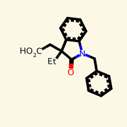 CCC1(CC(=O)O)C(=O)N(Cc2ccccc2)c2ccccc21